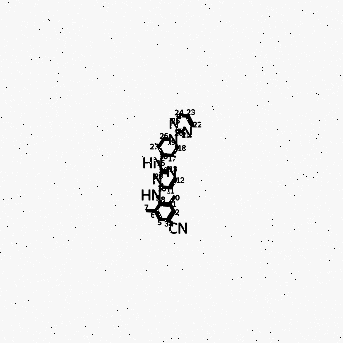 Cc1cc(C#N)cc(C)c1Nc1ccnc(NC2CCN(c3ncccn3)CC2)n1